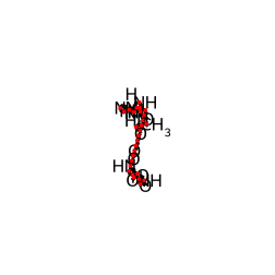 C[C@@H](NC(=O)c1cccc(NC2(c3nnc(-c4ccncc4)[nH]3)CCNCC2)c1)c1cccc(OCCCCCCOCCOCCNc2ccc3c(c2)CN(C2CCC(=O)NC2=O)C3=O)c1